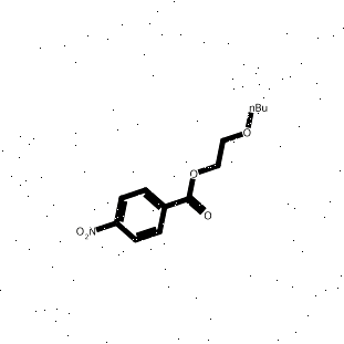 CCCCOCCOC(=O)c1ccc([N+](=O)[O-])cc1